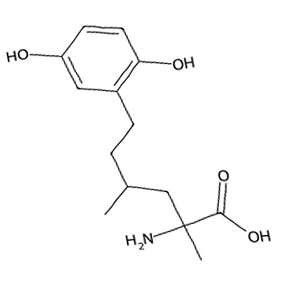 CC(CCc1cc(O)ccc1O)CC(C)(N)C(=O)O